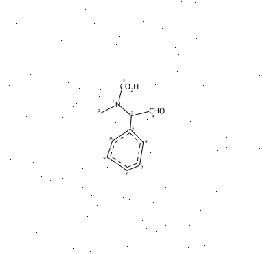 CN(C(=O)O)C(C=O)c1ccccc1